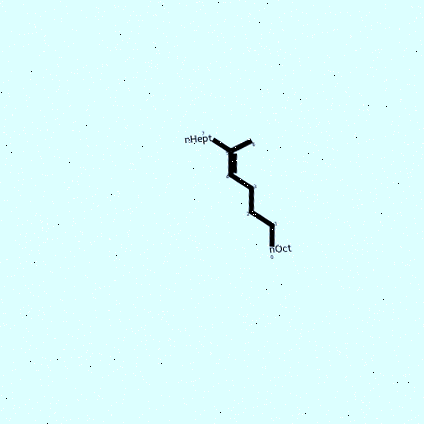 CCCCCCCCCCC/C=C(\C)CCCCCCC